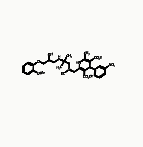 CCOC(=O)C1=C(CN(CC)CC(C)(C)NCC(O)COc2ccccc2OC)NC(C)=C(C(=O)O)C1c1cccc([N+](=O)[O-])c1